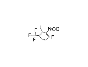 O=C=Nc1c(F)ccc(C(F)(F)F)c1I